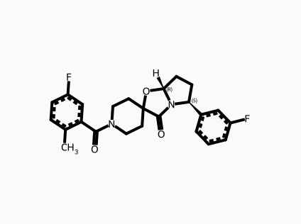 Cc1ccc(F)cc1C(=O)N1CCC2(CC1)O[C@@H]1CC[C@@H](c3cccc(F)c3)N1C2=O